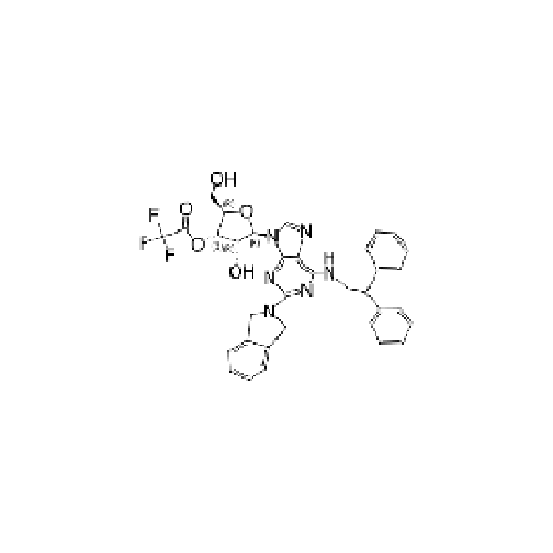 O=C(O[C@H]1[C@@H](O)[C@H](n2cnc3c(NCC(c4ccccc4)c4ccccc4)nc(N4Cc5ccccc5C4)nc32)O[C@@H]1CO)C(F)(F)F